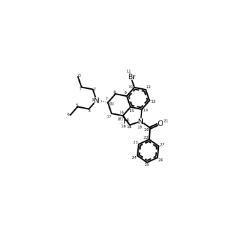 CCCN(CCC)[C@@H]1Cc2c(Br)ccc3c2[C@@H](C1)CN3C(=O)c1ccccc1